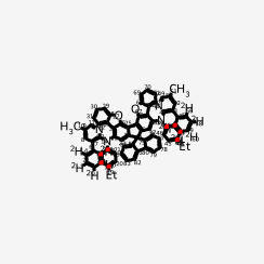 [2H]c1c([2H])c([2H])c(-c2cc(C)cnc2N(c2ccc(CC)cc2)c2cc3c(c4oc5ccccc5c24)-c2c(cc(N(c4ccc(CC)cc4)c4ncc(C)cc4-c4c([2H])c([2H])c([2H])c([2H])c4[2H])c4c2oc2ccccc24)C32c3ccccc3-c3ccccc32)c([2H])c1[2H]